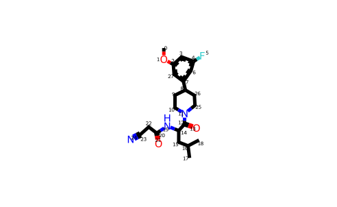 COc1cc(F)cc(C2CCN(C(=O)C(CC(C)C)NC(=O)CC#N)CC2)c1